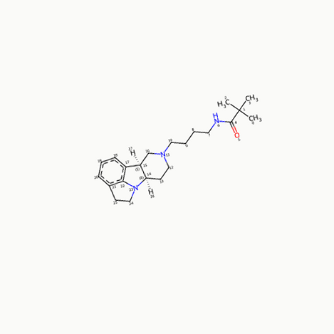 CC(C)(C)C(=O)NCCCCN1CC[C@@H]2[C@H](C1)c1cccc3c1N2CC3